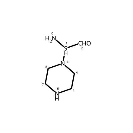 N[SH](C=O)N1CCNCC1